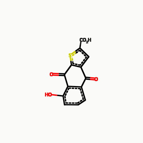 O=C(O)c1cc2c(s1)C(=O)c1c(O)cccc1C2=O